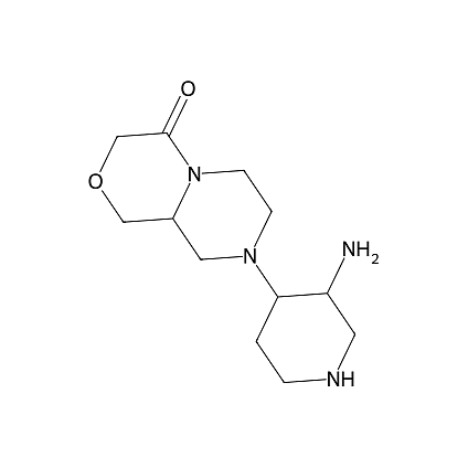 NC1CNCCC1N1CCN2C(=O)COCC2C1